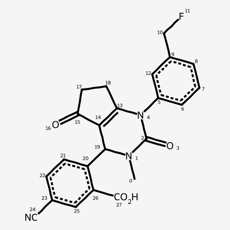 CN1C(=O)N(c2cccc(CF)c2)C2=C(C(=O)CC2)C1c1ccc(C#N)cc1C(=O)O